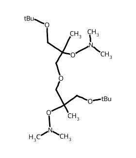 CN(C)OC(C)(COCC(C)(COC(C)(C)C)ON(C)C)COC(C)(C)C